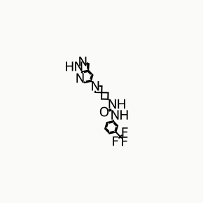 O=C(Nc1cccc(C(F)(F)F)c1)NC1CC2(C1)CN(c1cnc3[nH]ncc3c1)C2